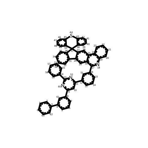 c1ccc(-c2cccc(-c3cc(-c4cccc(-c5nc6ccccc6c6cc7c(cc56)-c5ccccc5C75c6ccccc6Sc6ccccc65)c4)nc(-c4ccccc4)n3)c2)cc1